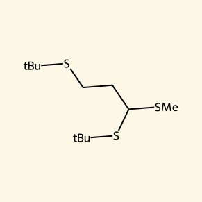 CSC(CCSC(C)(C)C)SC(C)(C)C